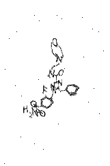 CN(CCN1CCOCC1)C(=O)c1nc(Cc2ccccc2)n(-c2ccc(S(N)(=O)=O)cc2F)n1